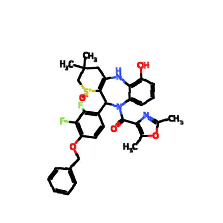 Cc1nc(C(=O)N2c3cccc(O)c3NC3=C(C2c2ccc(OCc4ccccc4)c(F)c2F)[S+]([O-])CC(C)(C)C3)c(C)o1